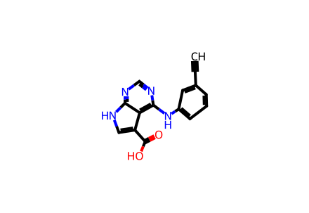 C#Cc1cccc(Nc2ncnc3[nH]cc(C(=O)O)c23)c1